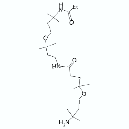 CCC(=O)NC(C)(C)CCOC(C)(C)CCNC(=O)CCC(C)(C)OCCC(C)(C)N